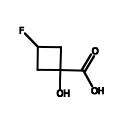 O=C(O)C1(O)CC(F)C1